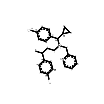 CC(CCN(Cc1ccccn1)C(c1ccc(Cl)cc1)C1CC1)c1ccc(F)cc1